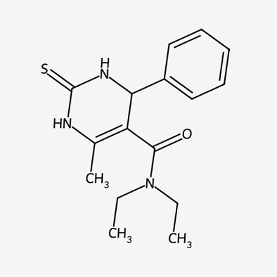 CCN(CC)C(=O)C1=C(C)NC(=S)NC1c1ccccc1